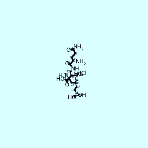 Cl.Cl.NC(=O)CC[C@H](N)C(=O)NC[C@@H]1CC[C@@H](CCB(O)O)C[C@]1(N)C(=O)O